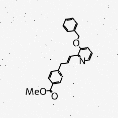 COC(=O)c1ccc(C/C=C/c2ncccc2OCc2ccccc2)cc1